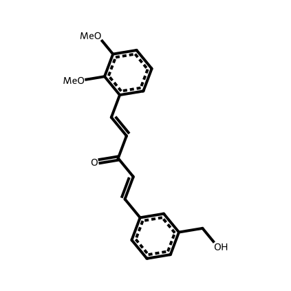 COc1cccc(/C=C/C(=O)/C=C/c2cccc(CO)c2)c1OC